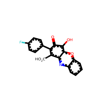 O=C(O)c1c2nc3ccccc3oc-2c(O)c(=O)c1-c1ccc(F)cc1